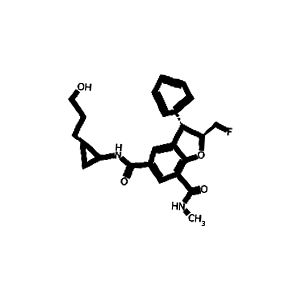 CNC(=O)c1cc(C(=O)NC2C[C@H]2CCCO)cc2c1O[C@H](CF)[C@H]2c1ccccc1